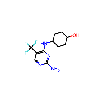 Nc1ncc(C(F)(F)F)c(NC2CCC(O)CC2)n1